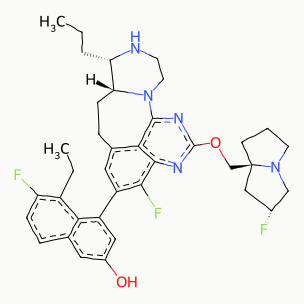 CCC[C@@H]1NCCN2c3nc(OC[C@@]45CCCN4C[C@H](F)C5)nc4c(F)c(-c5cc(O)cc6ccc(F)c(CC)c56)cc(c34)CC[C@H]12